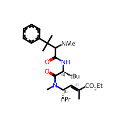 CCC[C@@H](/C=C(\C)C(=O)OCC)N(C)C(=O)[C@@H](NC(=O)C(NC)C(C)(C)c1ccccc1)C(C)(C)C